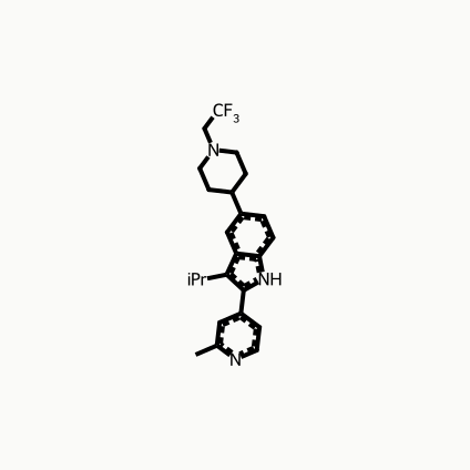 Cc1cc(-c2[nH]c3ccc(C4CCN(CC(F)(F)F)CC4)cc3c2C(C)C)ccn1